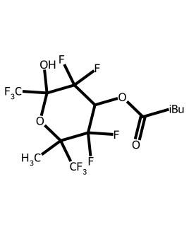 CCC(C)C(=O)OC1C(F)(F)C(C)(C(F)(F)F)OC(O)(C(F)(F)F)C1(F)F